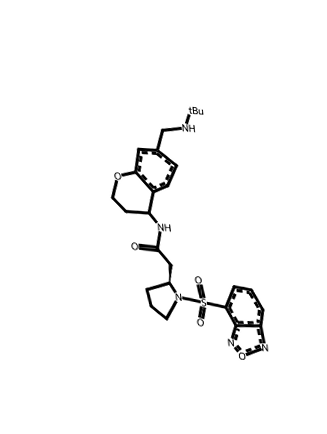 CC(C)(C)NCc1ccc2c(c1)OCCC2NC(=O)C[C@@H]1CCCN1S(=O)(=O)c1cccc2nonc12